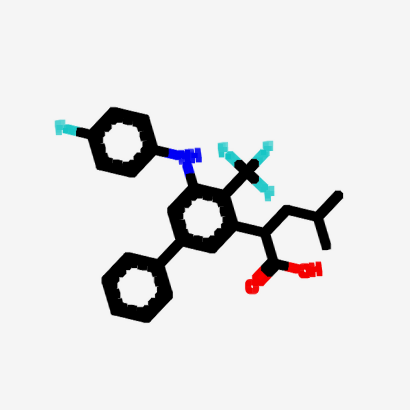 CC(C)CC(C(=O)O)c1cc(-c2ccccc2)cc(Nc2ccc(F)cc2)c1C(F)(F)F